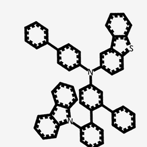 c1ccc(-c2ccc(N(c3ccc(-c4ccccc4-n4c5ccccc5c5ccccc54)c(-c4ccccc4)c3)c3ccc4sc5ccccc5c4c3)cc2)cc1